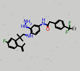 C=C(C)c1ccc(F)cc1C(C)(C)CNc1ccc(NC(=O)Cc2ccc(C(F)(F)CC)cc2)cc1NN